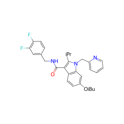 CC(C)COc1ccc2c(C(=O)NCc3ccc(F)c(F)c3)c(C(C)C)n(Cc3ccccn3)c2c1